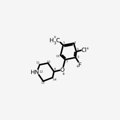 Cc1cc(Cl)c(F)c(OC2CCNCC2)c1